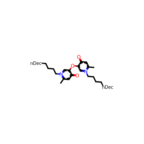 CCCCCCCCCCCCCCn1cc(Oc2cn(CCCCCCCCCCCCCC)c(C)cc2=O)c(=O)cc1C